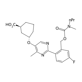 CCCN(C)C(=O)OCc1cc(F)ccc1-c1ncc(O[C@H]2CCC[C@H](C(=O)O)C2)c(C)n1